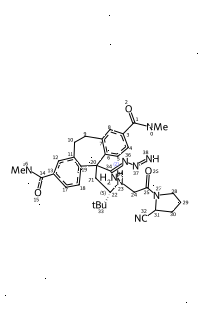 CNC(=O)c1ccc2c(c1)CCc1cc(C(=O)NC)ccc1C2(C[C@H](NCC(=O)N1CCCC1C#N)C(C)(C)C)/C(N)=N/N=N